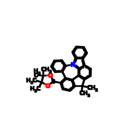 CC1(C)c2ccc(B3OC(C)(C)C(C)(C)O3)c3c2-c2c1ccc1c4ccccc4n(c21)-c1ccccc1-3